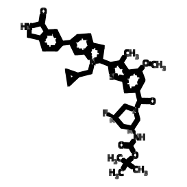 COc1cc(C(=O)N2C[C@H](F)C[C@@H](NC(=O)OC(C)(C)C)C2)cc2sc(-c3cc4ccc(-c5ccc6c(c5)C(=O)NC6)cc4n3CC3CC3)c(C)c12